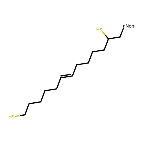 CCCCCCCCCCC(S)CCCC/C=C/CCCCCS